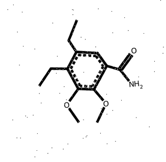 CCc1cc(C(N)=O)c(OC)c(OC)c1CC